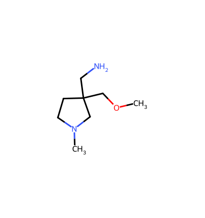 COCC1(CN)CCN(C)C1